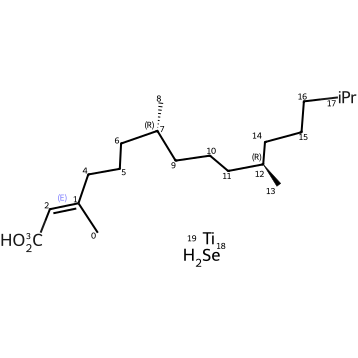 C/C(=C\C(=O)O)CCC[C@H](C)CCC[C@H](C)CCCC(C)C.[SeH2].[Ti]